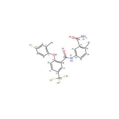 Cc1cc(F)ccc1Oc1ccc(C(F)(F)F)cc1C(=O)Nc1ccc(C)c(C(N)=O)c1